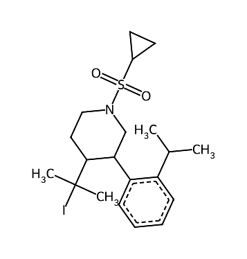 CC(C)c1ccccc1C1CN(S(=O)(=O)C2CC2)CCC1C(C)(C)I